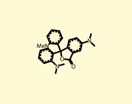 CNc1ccccc1C1(c2ccccc2N(C)C)OC(=O)c2cc(N(C)C)ccc21